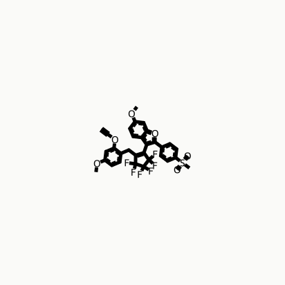 C#COc1cc(OC)ccc1CC1=C(c2c(-c3ccc(S(C)(=O)=O)cc3)oc3cc(OC)ccc23)C(F)(F)C(F)(F)C1(F)F